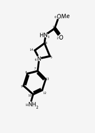 COC(=O)NC1CN(c2ccc(N)cc2)C1